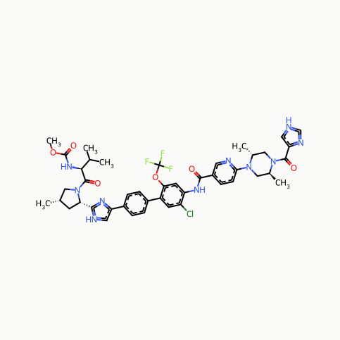 COC(=O)N[C@H](C(=O)N1C[C@@H](C)C[C@H]1c1nc(-c2ccc(-c3cc(Cl)c(NC(=O)c4ccc(N5C[C@H](C)N(C(=O)c6c[nH]cn6)C[C@H]5C)nc4)cc3OC(F)(F)F)cc2)c[nH]1)C(C)C